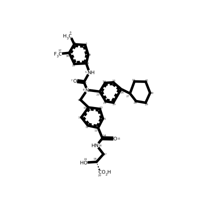 Cc1ccc(NC(=O)N(Cc2ccc(C(=O)NC[C@@H](O)C(=O)O)cc2)c2ccc(C3CCCCC3)cc2)cc1C(F)(F)F